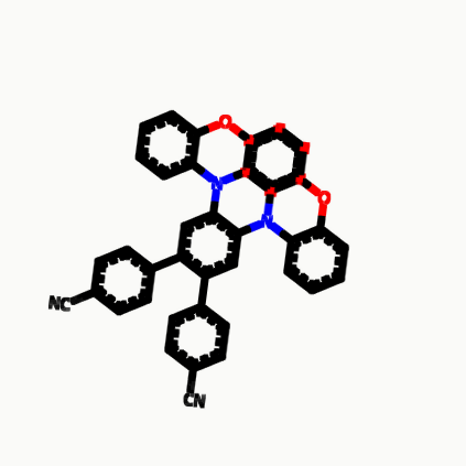 N#Cc1ccc(-c2cc(N3c4ccccc4Oc4ccccc43)c(N3c4ccccc4Oc4ccccc43)cc2-c2ccc(C#N)cc2)cc1